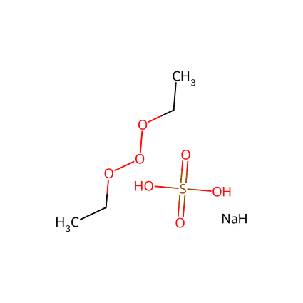 CCOOOCC.O=S(=O)(O)O.[NaH]